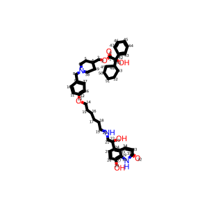 O=C(OCC1CCN(Cc2ccc(OCCCCCCNCC(O)c3ccc(O)c4[nH]c(=O)ccc34)cc2)CC1)C(O)(c1ccccc1)C1CCCCC1